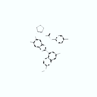 COc1cnc2c(-c3nc4cc(F)c(O[C@H]5CCC[C@H]5OC(=O)Nc5ncc(C)cn5)cc4s3)cc(C)cc2n1